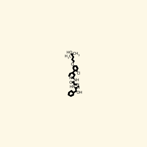 CC(C)(O)CCCOc1ccc(Cl)c(-c2ccnc(NC(=O)c3nnc([C@@H](O)c4ccccc4)[nH]3)c2)c1